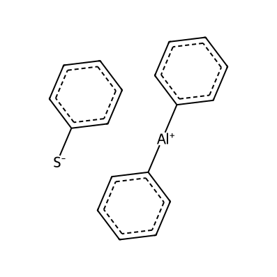 [S-]c1ccccc1.c1cc[c]([Al+][c]2ccccc2)cc1